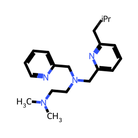 CC(C)Cc1cccc(CN(CCN(C)C)Cc2ccccn2)n1